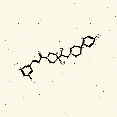 O=C(C=Cc1cc(F)cc(F)c1)N1CCC(O)(C(O)CN2CCC(c3ccc(Cl)cc3)CC2)CC1